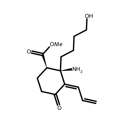 C=C/C=C1\C(=O)CC[C@@H](C(=O)OC)[C@]1(N)CCCCO